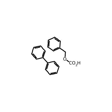 O=C(O)OCc1ccccc1.c1ccc(-c2ccccc2)cc1